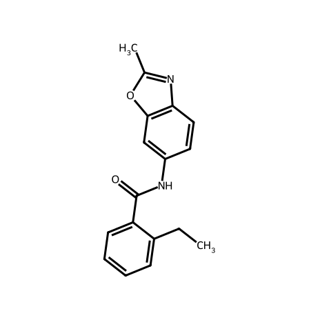 CCc1ccccc1C(=O)Nc1ccc2nc(C)oc2c1